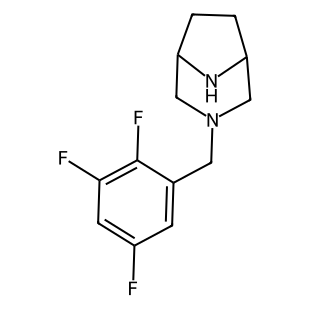 Fc1cc(F)c(F)c(CN2CC3CCC(C2)N3)c1